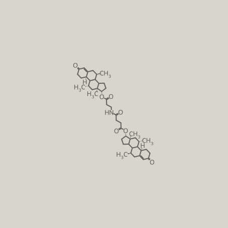 C[C@@H]1CC2=CC(=O)CC[C@@H]2C2C1C1CC[C@H](OC(=O)CCNC(=O)CCC(=O)O[C@H]3CCC4C5C([C@@H](C)C[C@@]43C)[C@H]3CCC(=O)C=C3C[C@H]5C)[C@@]1(C)C[C@@H]2C